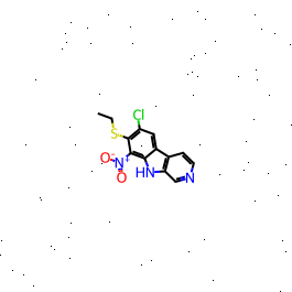 CCSc1c(Cl)cc2c([nH]c3cnccc32)c1[N+](=O)[O-]